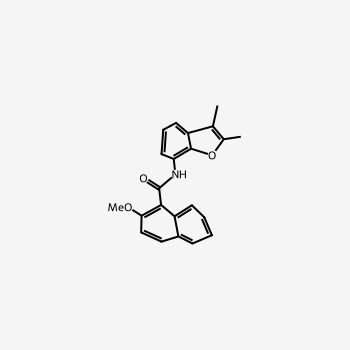 COc1ccc2ccccc2c1C(=O)Nc1cccc2c(C)c(C)oc12